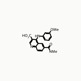 CNC(=O)c1ccc2ncc(C(=O)O)c(Nc3cccc(OC)c3)c2c1